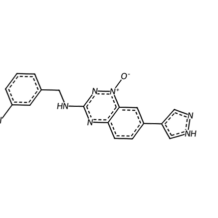 [O-][n+]1nc(NCc2cccc(Cl)c2)nc2ccc(-c3cn[nH]c3)cc21